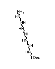 CCCCCCCCCCCCNCCNCCNCCNCCNCCNCCNCCN